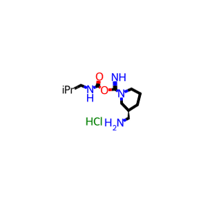 CC(C)CNC(=O)OC(=N)N1CCC[C@@H](CN)C1.Cl